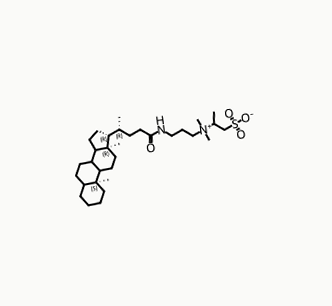 CC(CS(=O)(=O)[O-])[N+](C)(C)CCCNC(=O)CC[C@@H](C)[C@H]1CCC2C3CCC4CCCC[C@]4(C)C3CC[C@@]21C